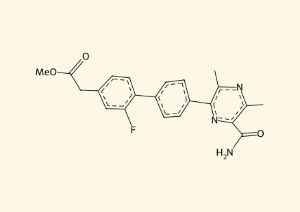 COC(=O)Cc1ccc(-c2ccc(-c3nc(C(N)=O)c(C)nc3C)cc2)c(F)c1